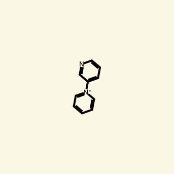 c1cc[n+](-c2cccnc2)cc1